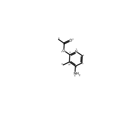 CC(=O)Oc1nccc(N)c1C